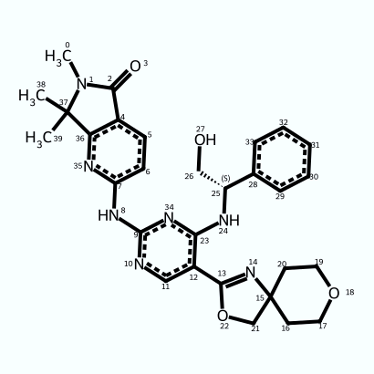 CN1C(=O)c2ccc(Nc3ncc(C4=NC5(CCOCC5)CO4)c(N[C@H](CO)c4ccccc4)n3)nc2C1(C)C